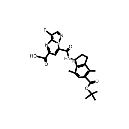 Cc1cc(C(=O)OC(C)(C)C)c(C)c2c1[C@@H](NC(=O)c1cc(C(=O)O)nc3c(F)cnn13)CC2